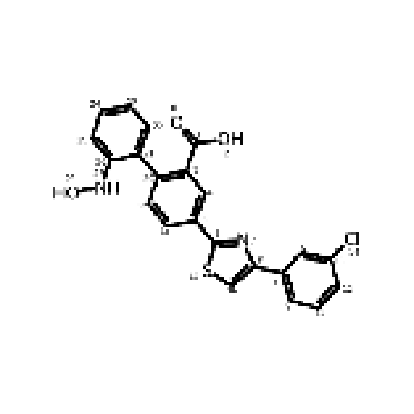 O=C(O)c1cc(-c2nc(-c3cccc(Cl)c3)cs2)ccc1-c1ccccc1NO